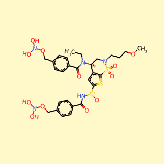 CCN(C(=O)c1ccc(CON(O)O)cc1)[C@H]1CN(CCCOC)S(=O)(=O)c2sc([S+]([O-])NC(=O)c3ccc(CON(O)O)cc3)cc21